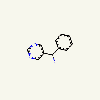 NC(c1ccccc1)c1cncnc1